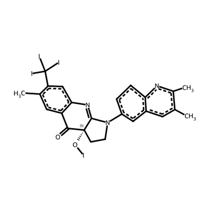 Cc1cc2c(cc1C(I)(I)I)N=C1N(c3ccc4nc(C)c(C)cc4c3)CC[C@@]1(OI)C2=O